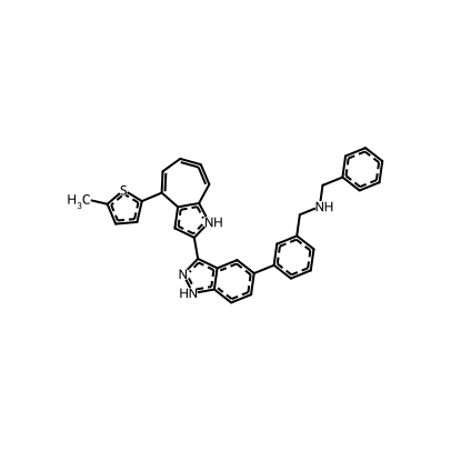 Cc1ccc(C2=CC=C=Cc3[nH]c(-c4n[nH]c5ccc(-c6cccc(CNCc7ccccc7)c6)cc45)cc32)s1